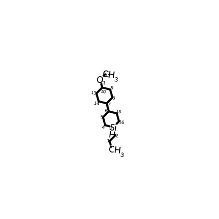 CCC[SiH]1CCC(C2CCC(OC)CC2)CC1